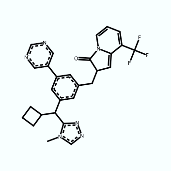 Cn1cnnc1C(c1cc(CC2C=C3C(C(F)(F)F)=CC=CN3C2=O)cc(-c2cncnc2)c1)C1CCC1